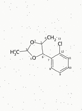 [CH2]C1OC(C)OC1c1ccccc1Cl